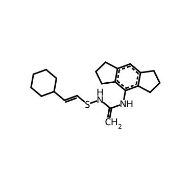 C=C(NS/C=C/C1CCCCC1)Nc1c2c(cc3c1CCC3)CCC2